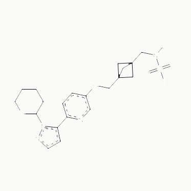 CN(CC12CC(COc3ccc(-c4ccnn4C4CCCCO4)nc3)(C1)C2)S(C)(=O)=O